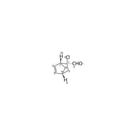 O=[C][C@]1(Cl)C[C@@H]2C=C[C@H]1C2